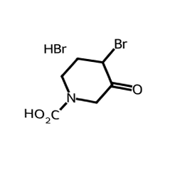 Br.O=C1CN(C(=O)O)CCC1Br